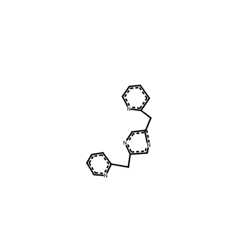 c1ccc(Cc2cnc(Cc3ccccn3)cn2)nc1